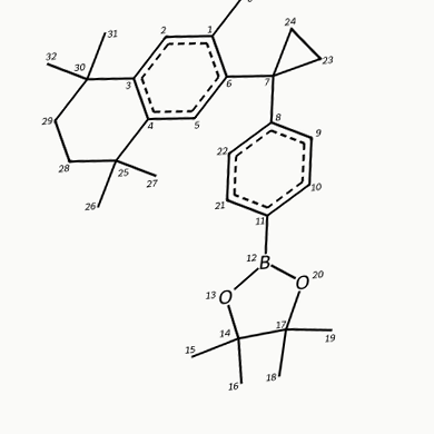 Cc1cc2c(cc1C1(c3ccc(B4OC(C)(C)C(C)(C)O4)cc3)CC1)C(C)(C)CCC2(C)C